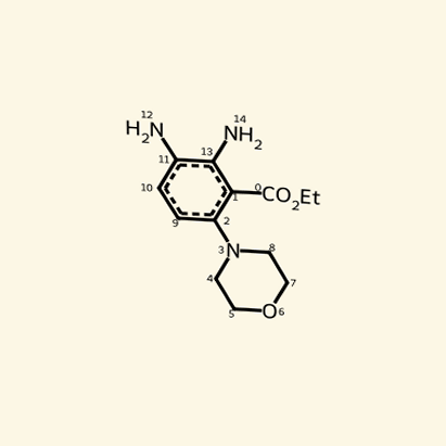 CCOC(=O)c1c(N2CCOCC2)ccc(N)c1N